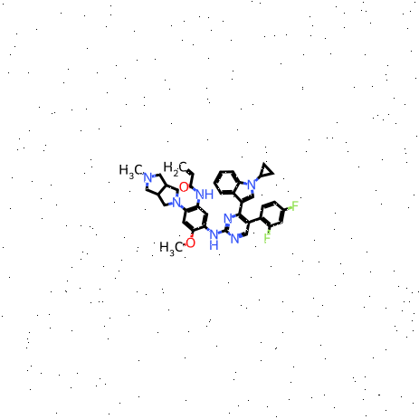 C=CC(=O)Nc1cc(Nc2ncc(-c3ccc(F)cc3F)c(-c3cn(C4CC4)c4ccccc34)n2)c(OC)cc1N1CC2CN(C)CC2C1